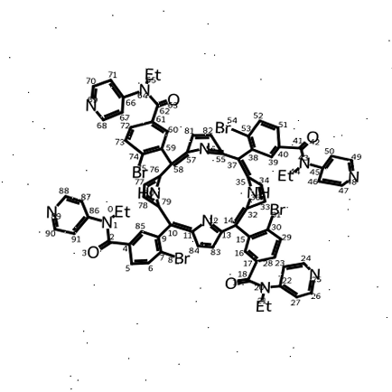 CCN(C(=O)c1ccc(Br)c(-c2c3nc(c(-c4cc(C(=O)N(CC)c5ccncc5)ccc4Br)c4ccc([nH]4)c(-c4cc(C(=O)N(CC)c5ccncc5)ccc4Br)c4nc(c(-c5cc(C(=O)N(CC)c6ccncc6)ccc5Br)c5ccc2[nH]5)C=C4)C=C3)c1)c1ccncc1